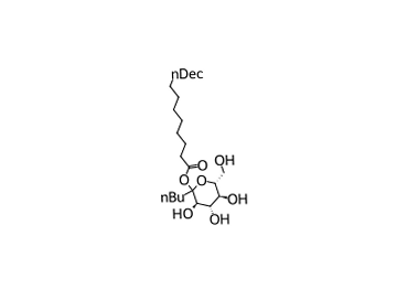 CCCCCCCCCCCCCCCCCC(=O)OC1(CCCC)O[C@H](CO)[C@@H](O)[C@H](O)[C@H]1O